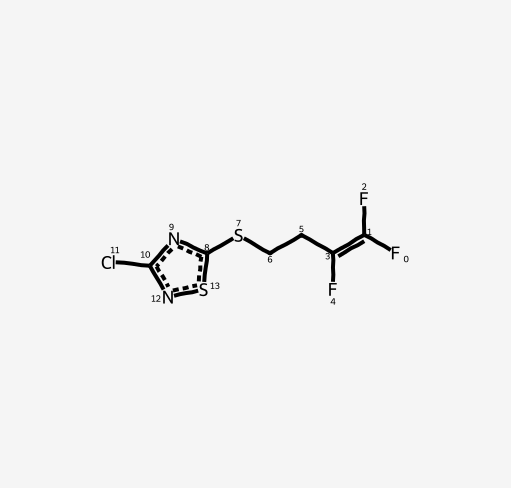 FC(F)=C(F)CCSc1nc(Cl)ns1